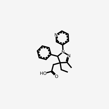 CCC1(CC(=O)O)C(C)=NN(c2cccnc2)C1c1ccccc1